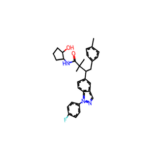 Cc1ccc(CC(c2ccc3c(cnn3-c3ccc(F)cc3)c2)C(C)(C)C(=O)NC2CCCC2O)cc1